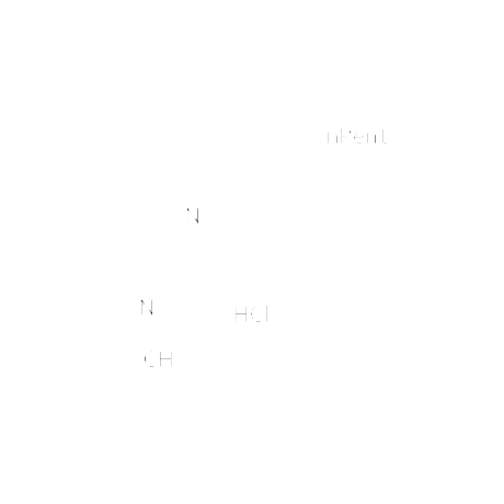 CCCCCCCN1C=CN(C)C1.Cl